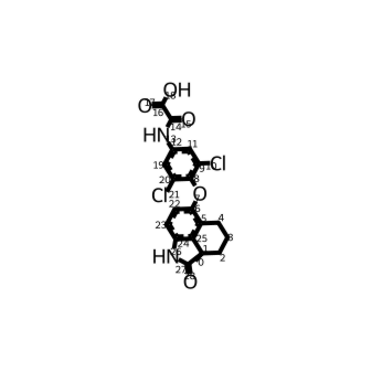 CC12CCCc3c(Oc4c(Cl)cc(NC(=O)C(=O)O)cc4Cl)ccc(c31)NC2=O